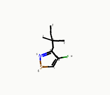 CC(C)(C)c1nscc1F